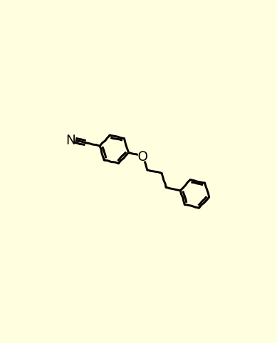 N#Cc1ccc(OCCCc2ccccc2)cc1